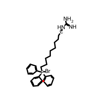 N=C(N)NCCCCCCCCCCP(Br)(c1ccccc1)(c1ccccc1)c1ccccc1